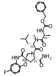 CC(C)C[C@@H](C(=O)N1C[C@@]2(C[C@H]1C(N)=O)Oc1ccc(F)cc1NC2=O)N(C)C(=O)[C@H](C)NC(=O)OCc1ccccc1